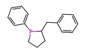 c1ccc(CC2CCCP2c2ccccc2)cc1